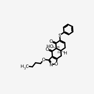 CCCCOc1noc2c1C(=O)[C@@]1(O)C(=O)C(Sc3ccccc3)=CC[C@H]1C2